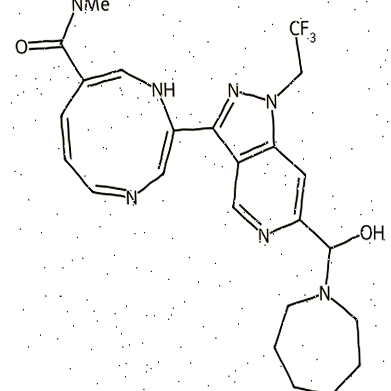 CNC(=O)c1cccncc(-c2nn(CC(F)(F)F)c3cc(C(O)N4CCCCCC4)ncc23)[nH]c1